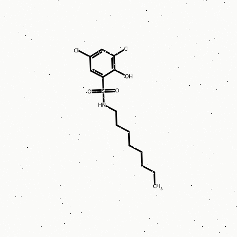 CCCCCCCCNS(=O)(=O)c1cc(Cl)cc(Cl)c1O